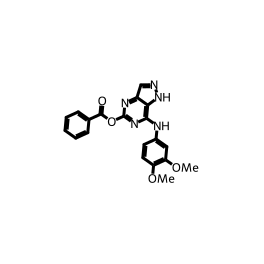 COc1ccc(Nc2nc(OC(=O)c3ccccc3)nc3cn[nH]c23)cc1OC